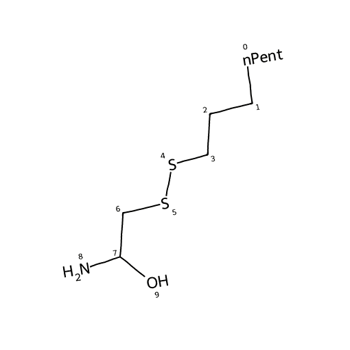 CCCCCCCCSSCC(N)O